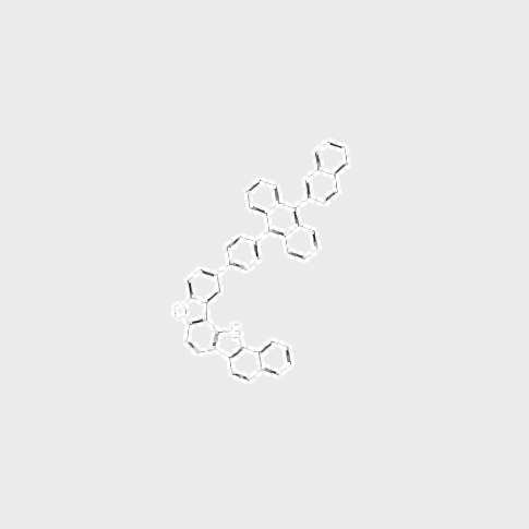 c1ccc2cc(-c3c4ccccc4c(-c4ccc(-c5ccc6oc7ccc8c9ccc%10ccccc%10c9sc8c7c6c5)cc4)c4ccccc34)ccc2c1